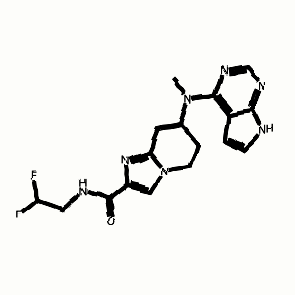 CN(c1ncnc2[nH]ccc12)C1CCn2cc(C(=O)NCC(F)F)nc2C1